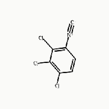 [C-]#[N+]c1ccc(Cl)c(Cl)c1Cl